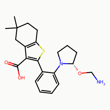 CC1(C)CCc2sc(-c3ccccc3N3CCC[C@@H]3OCN)c(C(=O)O)c2C1